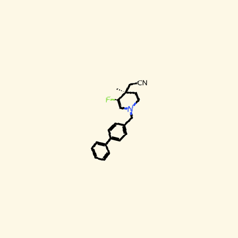 C[C@]1(CC#N)CCN(Cc2ccc(-c3ccccc3)cc2)C[C@H]1F